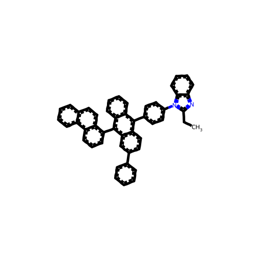 CCc1nc2ccccc2n1-c1ccc(-c2c3ccccc3c(-c3cccc4c3ccc3ccccc34)c3cc(-c4ccccc4)ccc23)cc1